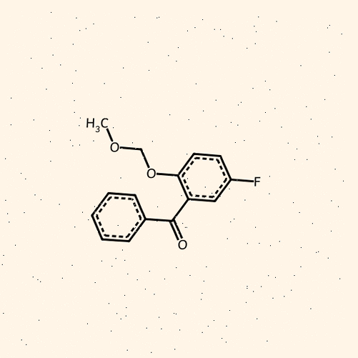 COCOc1ccc(F)cc1C(=O)c1ccccc1